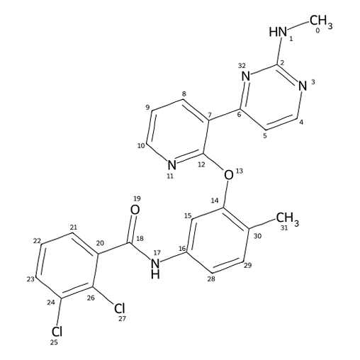 CNc1nccc(-c2cccnc2Oc2cc(NC(=O)c3cccc(Cl)c3Cl)ccc2C)n1